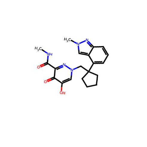 CNC(=O)c1nn(CC2(c3cccc4nn(C)cc34)CCCC2)cc(O)c1=O